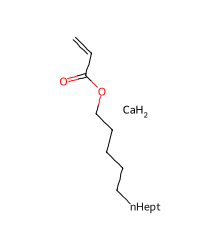 C=CC(=O)OCCCCCCCCCCCC.[CaH2]